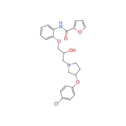 O=C(Nc1ccccc1OCC(O)CN1CCC(Oc2ccc(Cl)cc2)C1)c1ccco1